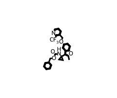 Cc1oc2ccc(OCc3cccnc3C(F)(F)F)cc2c1C1(NC(=O)OCc2ccccc2)CC1